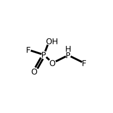 O=P(O)(F)OPF